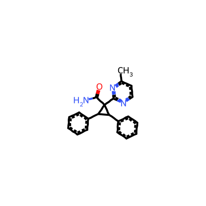 Cc1ccnc(C2(C(N)=O)C(c3ccccc3)C2c2ccccc2)n1